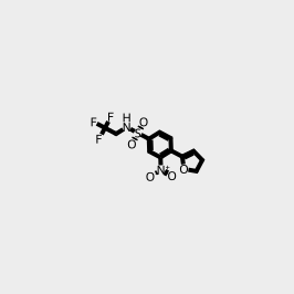 O=[N+]([O-])c1cc(S(=O)(=O)NCC(F)(F)F)ccc1C1=CCCO1